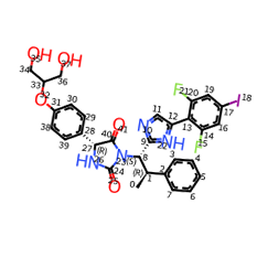 C[C@H](c1ccccc1)[C@@H](c1ncc(-c2c(F)cc(I)cc2F)[nH]1)N1C(=O)N[C@H](c2ccc(OC(CO)CO)cc2)C1=O